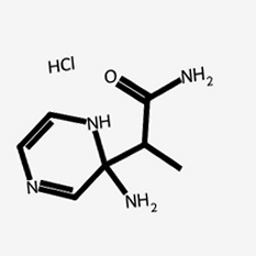 CC(C(N)=O)C1(N)C=NC=CN1.Cl